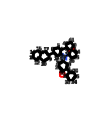 c1ccc(-c2ccc(-c3ccc4ccccc4c3)cc2N(c2ccccc2)c2ccc3oc4ccccc4c3c2)cc1